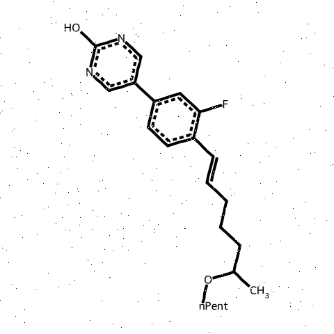 CCCCCOC(C)CCCC=Cc1ccc(-c2cnc(O)nc2)cc1F